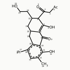 CC(=O)CC(=O)C1C(O)=C2C(=O)c3c(O)c(C)cc(C(C)C)c3CC2CC1CCO